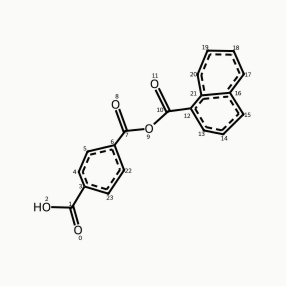 O=C(O)c1ccc(C(=O)OC(=O)c2cccc3ccccc23)cc1